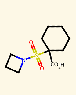 O=C(O)C1(S(=O)(=O)N2CCC2)CCCCC1